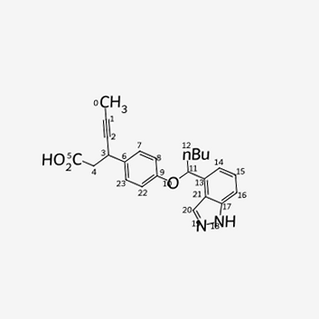 CC#CC(CC(=O)O)c1ccc(OC(CCCC)c2cccc3[nH]ncc23)cc1